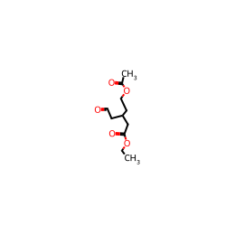 CCOC(=O)CC(CC=O)CCOC(C)=O